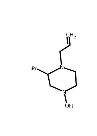 C=CCN1CCN(O)CC1C(C)C